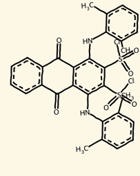 Cc1cccc(C)c1Nc1c2c(c(Nc3c(C)cccc3C)c(S(=O)(=O)Cl)c1S(=O)(=O)Cl)C(=O)c1ccccc1C2=O